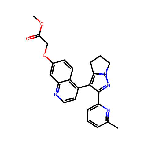 COC(=O)COc1ccc2c(-c3c(-c4cccc(C)n4)nn4c3CCC4)ccnc2c1